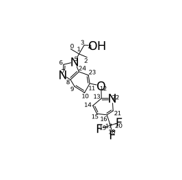 CC(C)(CO)n1cnc2ccc(Oc3ccc(C(F)(F)F)cn3)cc21